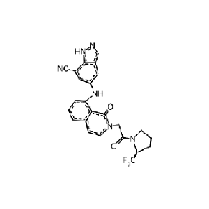 N#Cc1cc(Nc2cccc3ccn(CC(=O)N4CCC[C@H]4C(F)(F)F)c(=O)c23)cc2cn[nH]c12